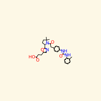 Cc1ccccc1NC(=O)Nc1ccc(CC(=O)N2C(c3ncc(CCC(=O)O)o3)CCC2(C)C)cc1